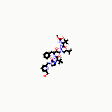 COC(=O)NC(C(=O)NN(CCC(C)C)CC(O)C(Cc1ccccc1)NC(=O)C(N1CCN(Cc2cccc(CO)n2)C1=O)C(C)(C)C)C(C)(C)C